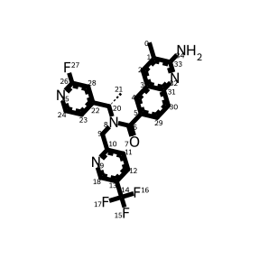 Cc1cc2cc(C(=O)N(Cc3ccc(C(F)(F)F)cn3)[C@@H](C)c3ccnc(F)c3)ccc2nc1N